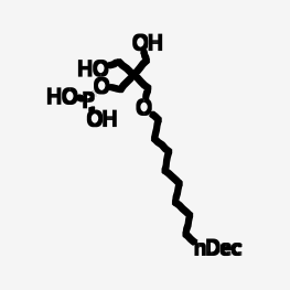 CCCCCCCCCCCCCCCCCCOCC(CO)(CO)COP(O)O